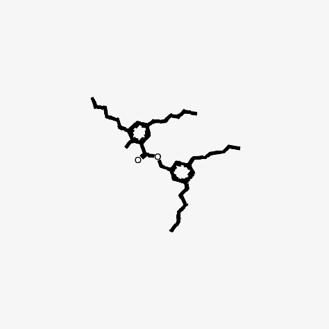 CCCCCCc1cc(CCCCCC)cc(COC(=O)c2cc(CCCCCC)cc(CCCCCC)c2C)c1